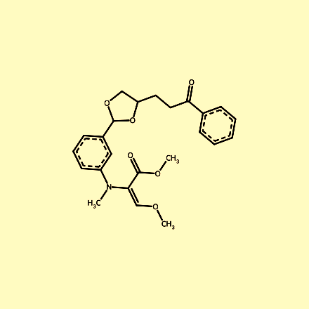 COC=C(C(=O)OC)N(C)c1cccc(C2OCC(CCC(=O)c3ccccc3)O2)c1